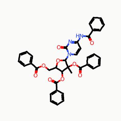 CC1(OC(=O)c2ccccc2)C(OC(=O)c2ccccc2)C(COC(=O)c2ccccc2)OC1n1ccc(NC(=O)c2ccccc2)nc1=O